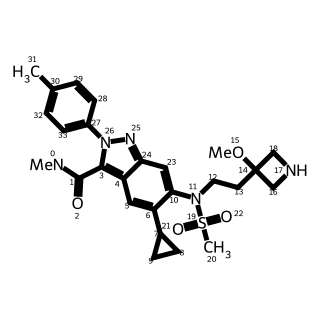 CNC(=O)c1c2cc(C3CC3)c(N(CCC3(OC)CNC3)S(C)(=O)=O)cc2nn1-c1ccc(C)cc1